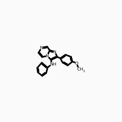 COc1ccc(-c2nc3cnccn3c2Nc2ccccc2)cc1